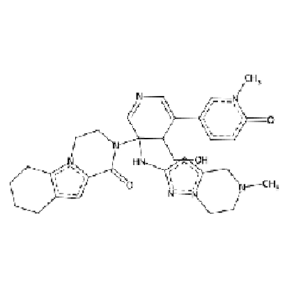 CN1CCn2nc(NC3(N4CCn5c(cc6c5CCCC6)C4=O)C=NC=C(c4ccc(=O)n(C)c4)C3CO)cc2C1